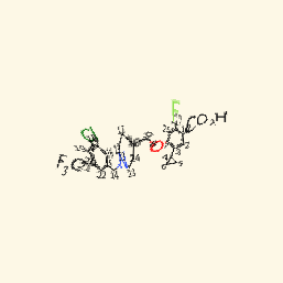 O=C(O)c1cc(C2CC2)c(OCC2CCN(Cc3cc(Cl)cc(C(F)(F)F)c3)CC2)cc1F